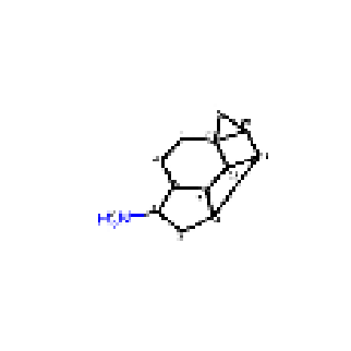 NC1CC2C3C1CCC14CC1C2C34